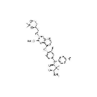 COc1nc2c(Oc3ncc(N(C(=O)C4(C(N)=O)CC4)c4ccc(F)cc4)cc3F)ccnc2cc1OCC1CCOC(C)(C)O1